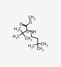 COC(=O)[C@@H](NCCC(C)(C)C)C(C)(C)C